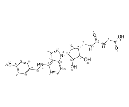 O=C(O)CNC(=O)NC[C@H]1O[C@@H](n2cnc3c(NCc4ccc(O)cc4)ncnc32)C(O)C1O